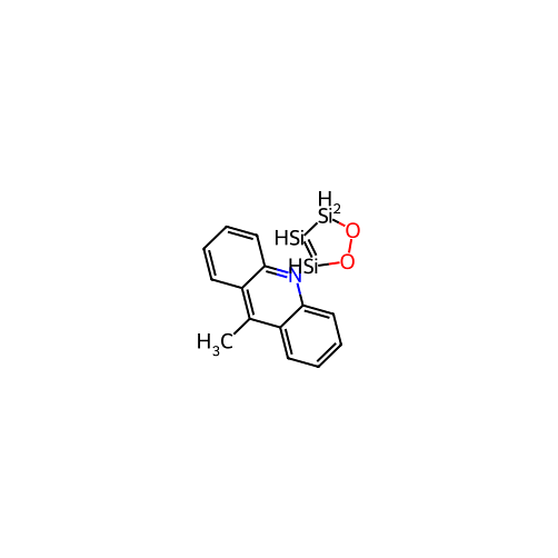 Cc1c2ccccc2nc2ccccc12.O1O[SiH2][SiH]=[SiH]1